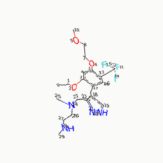 CCOc1cc(OCCOC)c(C(F)(F)F)cc1-c1c[nH]nc1CN(C)CCNC